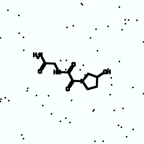 NC(=O)CNC(=O)C(=O)N1CCC(O)C1